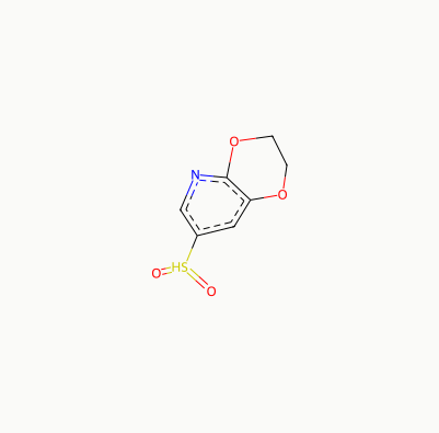 O=[SH](=O)c1cnc2c(c1)OCCO2